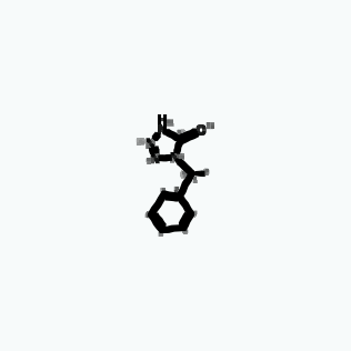 C[C@@H](c1ccccc1)n1nn[nH]c1=O